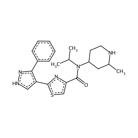 CC1CC(N(C(=O)c2csc(-c3c[nH]nc3-c3ccccc3)n2)C(C)C)CCN1